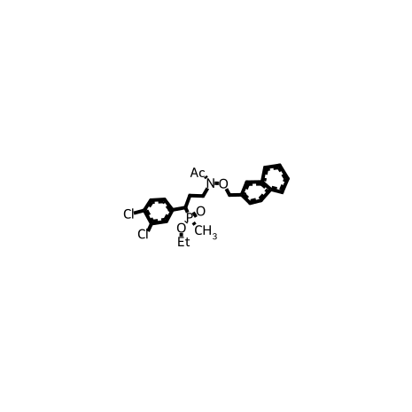 CCOP(C)(=O)C(CCN(OCc1ccc2ccccc2c1)C(C)=O)c1ccc(Cl)c(Cl)c1